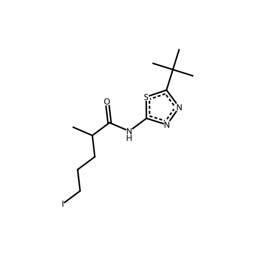 CC(CCCI)C(=O)Nc1nnc(C(C)(C)C)s1